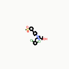 CC(C)(O)c1cn(-c2ccc(-c3cccc(S(C)(=O)=O)c3)cc2)c(Cc2c(Cl)cccc2Cl)n1